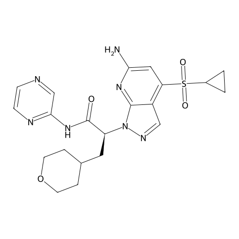 Nc1cc(S(=O)(=O)C2CC2)c2cnn([C@@H](CC3CCOCC3)C(=O)Nc3cnccn3)c2n1